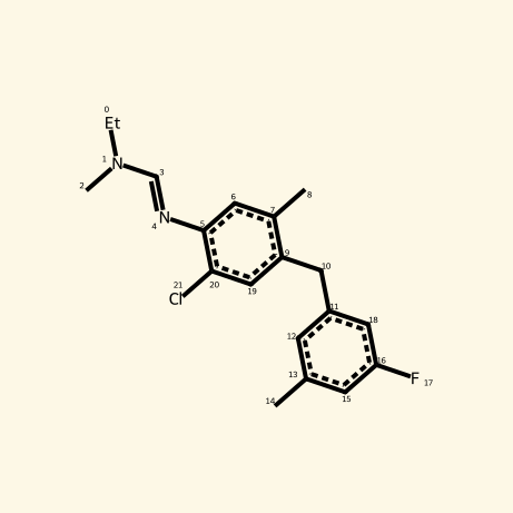 CCN(C)C=Nc1cc(C)c(Cc2cc(C)cc(F)c2)cc1Cl